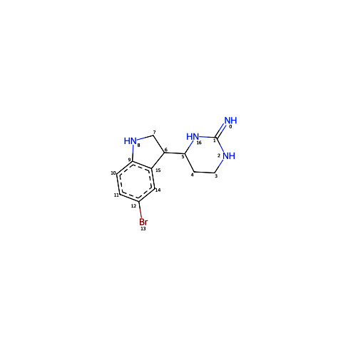 N=C1NCCC(C2CNc3ccc(Br)cc32)N1